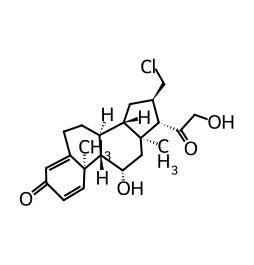 C[C@]12C[C@H](O)[C@H]3[C@@H](CCC4=CC(=O)C=C[C@@]43C)[C@@H]1C[C@@H](CCl)[C@@H]2C(=O)CO